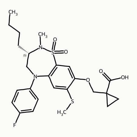 CCCC[C@H]1CN(c2ccc(F)cc2)c2cc(SC)c(OCC3(C(=O)O)CC3)cc2S(=O)(=O)N1C